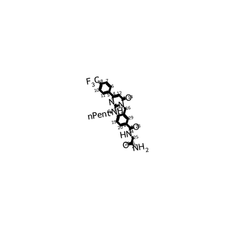 CCCCCNc1nc(-c2ccc(C(F)(F)F)cc2)cc(=O)n1Cc1cccc(C(=O)NCC(N)=O)c1